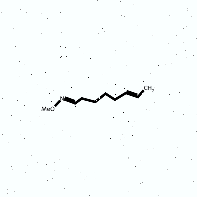 [CH2]C=CCCCCC=NOC